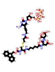 Nc1nc(=O)n([C@H]2C[C@@H](O)[C@@H](COP(=O)(O)OP(=O)(O)OP(=O)(O)O)O2)cc1C#CCNC(=O)CCSSCC(NC(=O)OCC1c2ccccc2-c2ccccc21)C(=O)NCCCCCC(=O)NC(CC(=O)O)C(=O)NC(CC(=O)O)C(=O)O